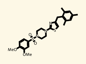 COc1ccc(S(=O)(=O)N2CCN(c3nc(Cc4c(C)cc(C)cc4C)cs3)CC2)cc1OC